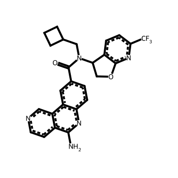 Nc1nc2ccc(C(=O)N(CC3CCC3)C3COc4nc(C(F)(F)F)ccc43)cc2c2cnccc12